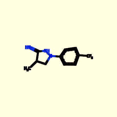 CC1CN(c2ccc(C(F)(F)F)cc2)NC1=N